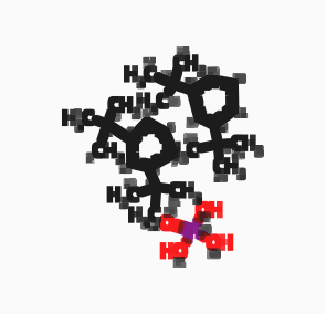 CC(C)(C)c1cccc(C(C)(C)C)c1.CC(C)(C)c1cccc(C(C)(C)C)c1.O=P(O)(O)O